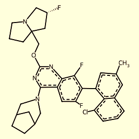 Cc1cc(-c2c(F)cc3c(N4CC5CCC(C5)C4)nc(OCC45CCCN4C[C@H](F)C5)nc3c2F)c2c(Cl)cccc2c1